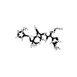 CCCCCON=C(C(=O)NC1C(=O)N2CC(CSc3nnnn3C)(C(=O)O)CS[C@H]12)c1csc(N)n1